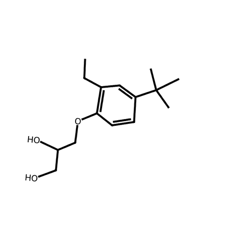 CCc1cc(C(C)(C)C)ccc1OCC(O)CO